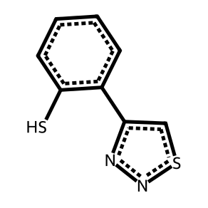 Sc1ccccc1-c1csnn1